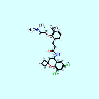 COc1cccc(CCC(=O)NC2CC3(CCC3)Oc3c(Cl)cc(Cl)cc32)c1OCCN(C)C